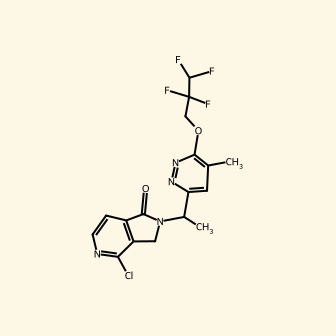 Cc1cc(C(C)N2Cc3c(ccnc3Cl)C2=O)nnc1OCC(F)(F)C(F)F